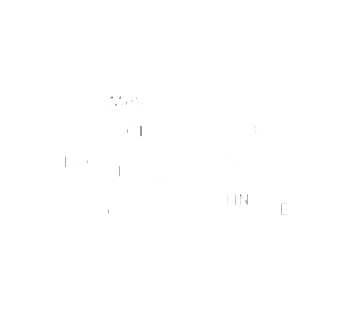 CCNC(=O)C(=CSC)OP(=O)(O)O